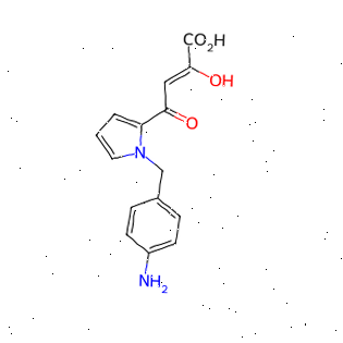 Nc1ccc(Cn2cccc2C(=O)/C=C(\O)C(=O)O)cc1